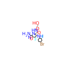 Nc1noc2c(F)c(Nc3ccc(Br)cc3F)c(C(=O)NOCCO)nc12